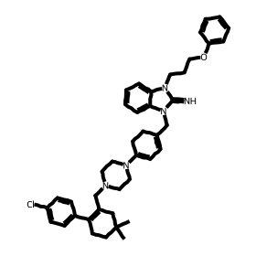 CC1(C)CCC(c2ccc(Cl)cc2)=C(CN2CCN(C3=CC=C(Cn4c(=N)n(CCCOc5ccccc5)c5ccccc54)CC3)CC2)C1